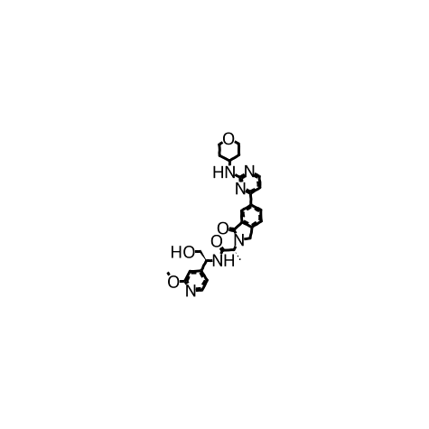 COc1cc([C@@H](CO)NC(=O)[C@@H](C)N2Cc3ccc(-c4ccnc(NC5CCOCC5)n4)cc3C2=O)ccn1